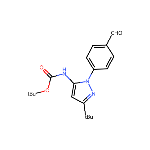 CC(C)(C)OC(=O)Nc1cc(C(C)(C)C)nn1-c1ccc(C=O)cc1